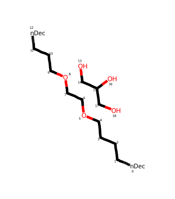 CCCCCCCCCCCCCCOCCOCCCCCCCCCCCCC.OCC(O)CO